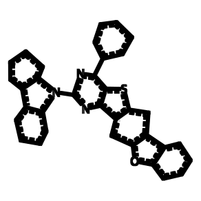 c1ccc(-c2nc(-n3c4ccccc4c4ccccc43)nc3c2sc2cc4c(cc23)oc2ccccc24)cc1